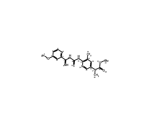 CC(C)Oc1ccnc(C(=N)NC(=S)Nc2ncc(N(C)C(=O)OC(C)(C)C)cc2C(F)(F)F)c1